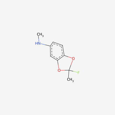 CNc1ccc2c(c1)OC(C)(F)O2